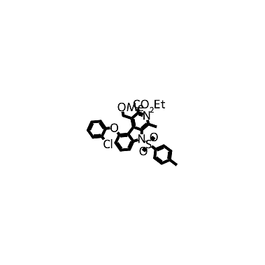 CCOC(=O)c1nc(C)c2c(c1COC)c1c(Oc3ccccc3Cl)cccc1n2S(=O)(=O)c1ccc(C)cc1